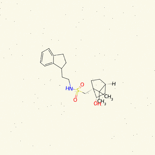 CC1(C)[C@H]2CC[C@]1(CS(=O)(=O)NCCC1CCc3ccccc31)[C@@H](O)C2